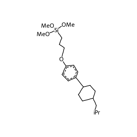 CO[Si](CCCOc1ccc(C2CCC(CC(C)C)CC2)cc1)(OC)OC